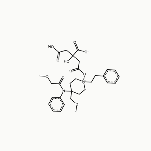 COCC(=O)N(c1ccccc1)C1(COC)CC[N+](CCc2ccccc2)(OC(=O)CC(O)(CC(=O)O)C(=O)[O-])CC1